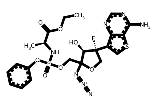 CCOC(=O)[C@H](C)NP(=O)(OCC1(N=[N+]=[N-])OC[C@](F)(c2csc3c(N)ncnc23)[C@@H]1O)Oc1ccccc1